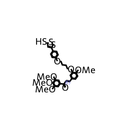 COc1ccc(/C=C/C(=O)c2cc(OC)c(OC)c(OC)c2)cc1OCCCCOc1ccc(C2=CC(S)SS2)cc1